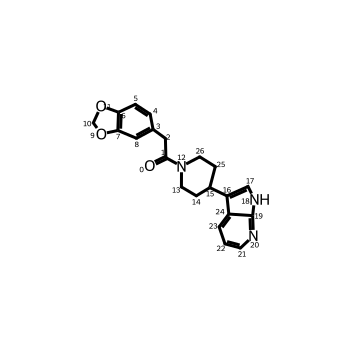 O=C(Cc1ccc2c(c1)OCO2)N1CCC(c2c[nH]c3ncccc23)CC1